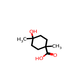 CC1(O)CCC(C)(C(=O)O)CC1